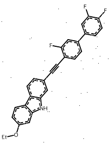 CCOc1ccc2c(c1)[nH]c1cc(C#Cc3ccc(-c4ccc(F)c(F)c4)cc3F)ccc12